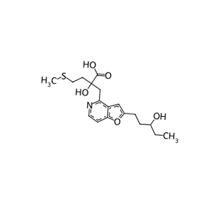 CCC(O)CCc1cc2c(CC(O)(CCSC)C(=O)O)nccc2o1